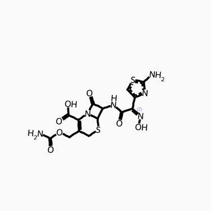 NC(=O)OCC1=C(C(=O)O)N2C(=O)C(NC(=O)/C(=N\O)c3csc(N)n3)C2SC1